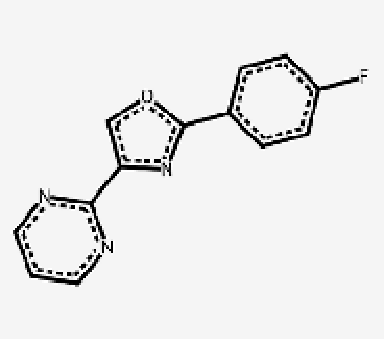 Fc1ccc(-c2nc(-c3ncccn3)co2)cc1